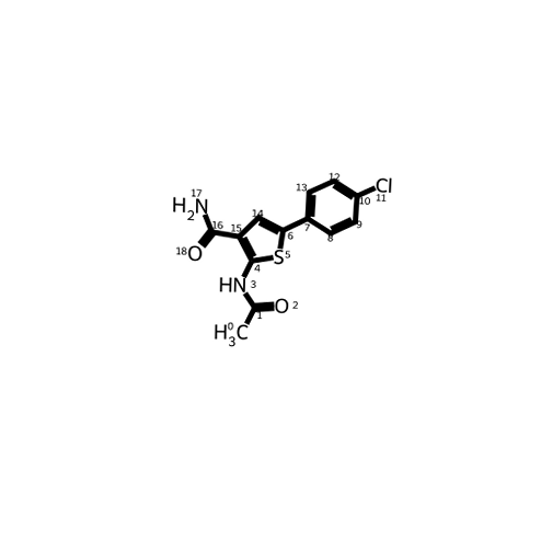 CC(=O)Nc1sc(-c2ccc(Cl)cc2)cc1C(N)=O